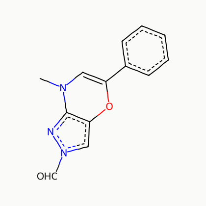 CN1C=C(c2ccccc2)Oc2cn(C=O)nc21